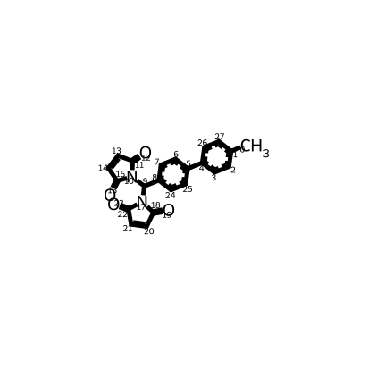 Cc1ccc(-c2ccc(C(N3C(=O)C=CC3=O)N3C(=O)C=CC3=O)cc2)cc1